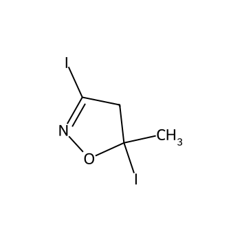 CC1(I)CC(I)=NO1